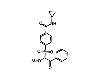 CON(C(=O)c1ccccc1)S(=O)(=O)c1ccc(C(=O)NC2CC2)cc1